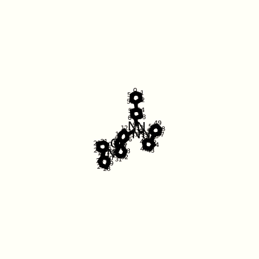 c1ccc(-c2ccc(-c3nc(-c4ccc5oc6c(-n7c8ccccc8c8ccccc87)cccc6c5c4)nc(-n4c5ccccc5c5ccccc54)n3)cc2)cc1